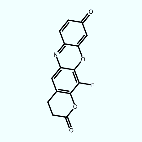 O=C1CCc2cc3nc4ccc(=O)cc-4oc3c(F)c2O1